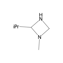 CC(C)C1NCN1C